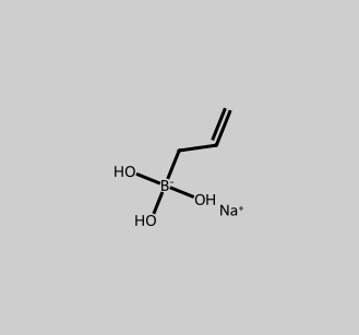 C=CC[B-](O)(O)O.[Na+]